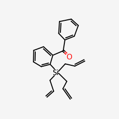 C=CC[Si](CC=C)(CC=C)c1ccccc1C(=O)c1ccccc1